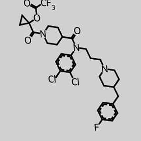 O=C(C1CCN(C(=O)C2(OC(=O)C(F)(F)F)CC2)CC1)N(CCCN1CCC(Cc2ccc(F)cc2)CC1)c1ccc(Cl)c(Cl)c1